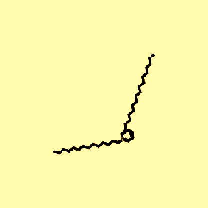 CCCCCCCCCCCCCCCCc1ccc[n+](CCCCCCCCCCCCCC)c1